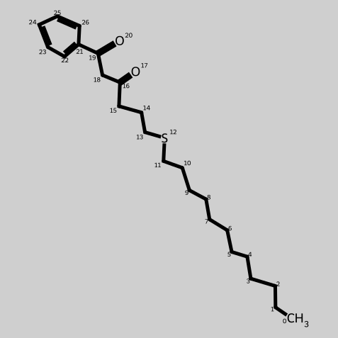 CCCCCCCCCCCCSCCCC(=O)CC(=O)c1ccccc1